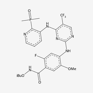 COc1cc(C(=O)NOCC(C)C)c(F)cc1Nc1ncc(C(F)(F)F)c(Nc2cccnc2P(C)(C)=O)n1